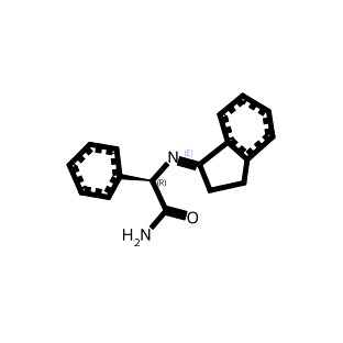 NC(=O)[C@H](/N=C1\CCc2ccccc21)c1ccccc1